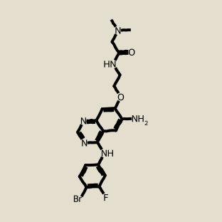 CN(C)CC(=O)NCCOc1cc2ncnc(Nc3ccc(Br)c(F)c3)c2cc1N